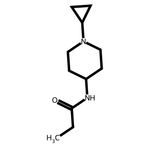 CCC(=O)NC1CCN(C2CC2)CC1